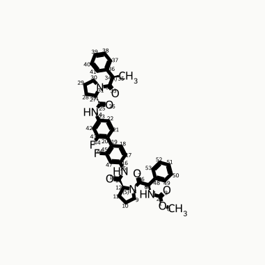 COC(=O)N[C@@H](C(=O)N1CCC[C@H]1C(=O)Nc1ccc(-c2ccc(NC(=O)[C@@H]3CCCN3C(=O)[C@H](C)c3ccccc3)cc2F)c(F)c1)c1ccccc1